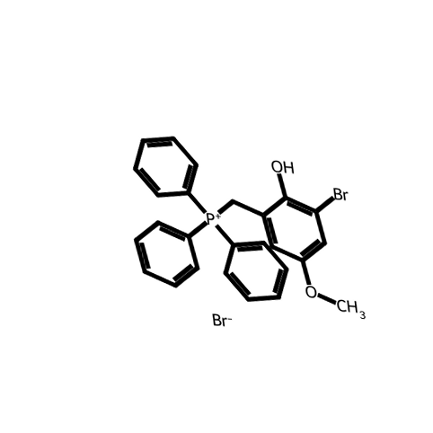 COc1cc(Br)c(O)c(C[P+](c2ccccc2)(c2ccccc2)c2ccccc2)c1.[Br-]